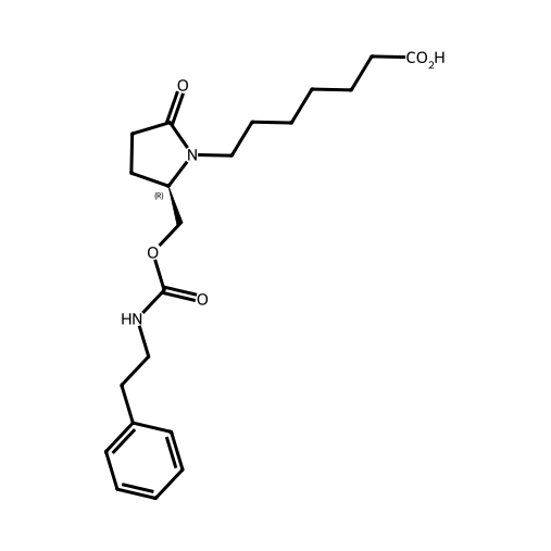 O=C(O)CCCCCCN1C(=O)CC[C@@H]1COC(=O)NCCc1ccccc1